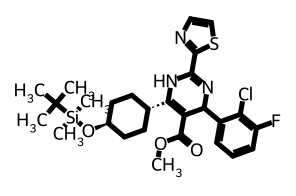 COC(=O)C1=C([C@H]2CC[C@H](O[Si](C)(C)C(C)(C)C)CC2)NC(c2nccs2)=NC1c1cccc(F)c1Cl